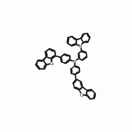 c1cc(N(c2ccc(-c3ccc4oc5ccccc5c4c3)cc2)c2ccc(-c3cccc4c3oc3ccccc34)cc2)cc(-n2c3ccccc3c3ccccc32)c1